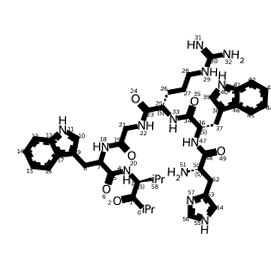 CC(C)C(=O)[C@@H](NC(=O)C(Cc1c[nH]c2ccccc12)NC(=O)CNC(=O)[C@H](CCCNC(=N)N)NC(=O)[C@H](Cc1c[nH]c2ccccc12)NC(=O)[C@@H](N)Cc1c[nH]cn1)C(C)C